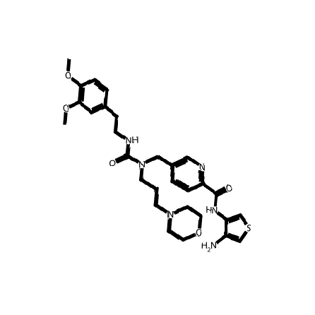 COc1ccc(CCNC(=O)N(CCCN2CCOCC2)Cc2ccc(C(=O)Nc3cscc3N)nc2)cc1OC